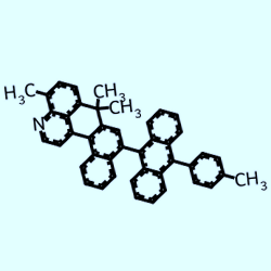 Cc1ccc(-c2c3ccccc3c(-c3cc4c(c5ccccc35)-c3ccnc5c(C)ccc(c35)C4(C)C)c3ccccc23)cc1